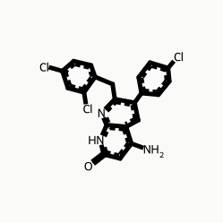 Nc1cc(=O)[nH]c2nc(Cc3ccc(Cl)cc3Cl)c(-c3ccc(Cl)cc3)cc12